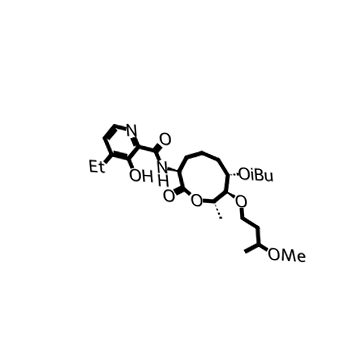 CCc1ccnc(C(=O)N[C@H]2CCC[C@H](OCC(C)C)[C@@H](OCCC(C)OC)[C@H](C)OC2=O)c1O